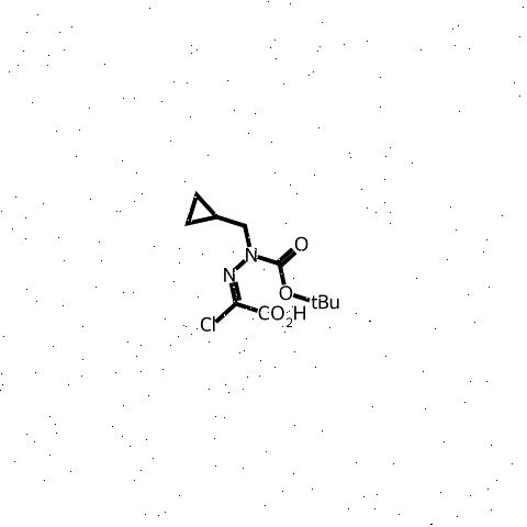 CC(C)(C)OC(=O)N(CC1CC1)/N=C(/Cl)C(=O)O